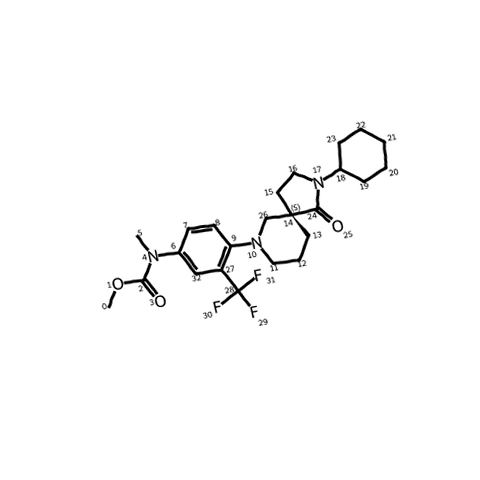 COC(=O)N(C)c1ccc(N2CCC[C@]3(CCN(C4CCCCC4)C3=O)C2)c(C(F)(F)F)c1